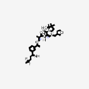 C=C(O/C=C(\C)C(=O)N/C(=C/NCC1CCOC1)C(=N)N1CCC(C)(C)C1(C)O)c1cccc(C(=N)CCC(C)(F)F)c1